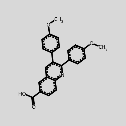 COc1ccc(-c2cc3cc(C(=O)O)ccc3nc2-c2ccc(OC)cc2)cc1